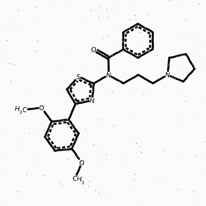 COc1ccc(OC)c(-c2csc(N(CCCN3CCCC3)C(=O)c3ccccc3)n2)c1